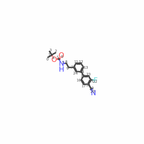 CC(C)(C)OC(=O)NCCc1cccc(-c2ccc(C#N)c(F)c2)c1